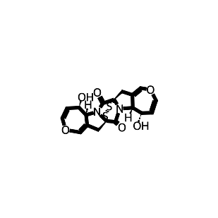 O=C1N2[C@H]3C(=COC=C[C@@H]3O)C[C@]23SS[C@]12CC1=COC=C[C@H](O)[C@H]1N2C3=O